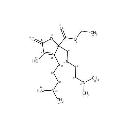 CCOC(=O)C1(CSCCN(C)C)OC(=O)C(O)=C1SCCN(C)C